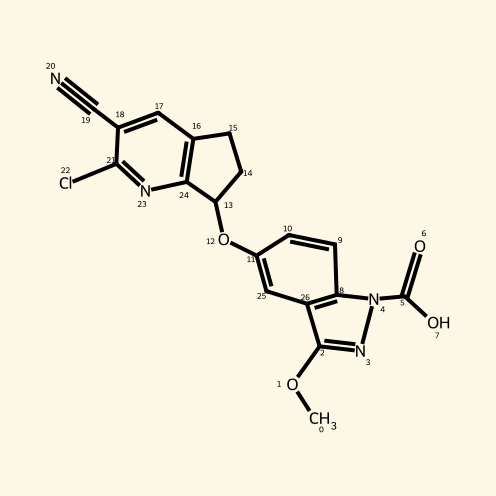 COc1nn(C(=O)O)c2ccc(OC3CCc4cc(C#N)c(Cl)nc43)cc12